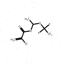 C=C(Cl)C(=O)OC(C)OC(F)(F)C(F)(F)F